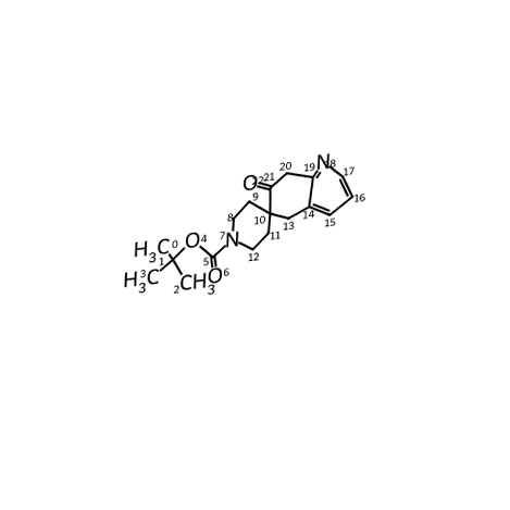 CC(C)(C)OC(=O)N1CCC2(CC1)Cc1cccnc1CC2=O